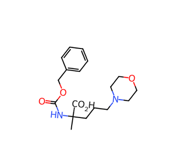 CC(CCCN1CCOCC1)(NC(=O)OCc1ccccc1)C(=O)O